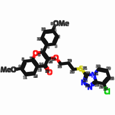 COc1ccc(-c2oc3cc(OC)ccc3c(=O)c2OCCCSc2nnc3c(Cl)cccn23)cc1